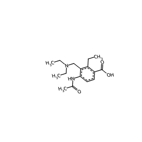 CCc1c(C(=O)O)ccc(NC(C)=O)c1CN(CC)CC